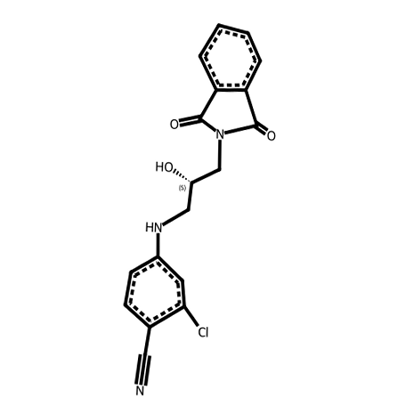 N#Cc1ccc(NC[C@H](O)CN2C(=O)c3ccccc3C2=O)cc1Cl